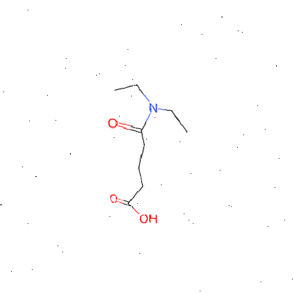 CCN(CC)C(=O)CCCC(=O)O